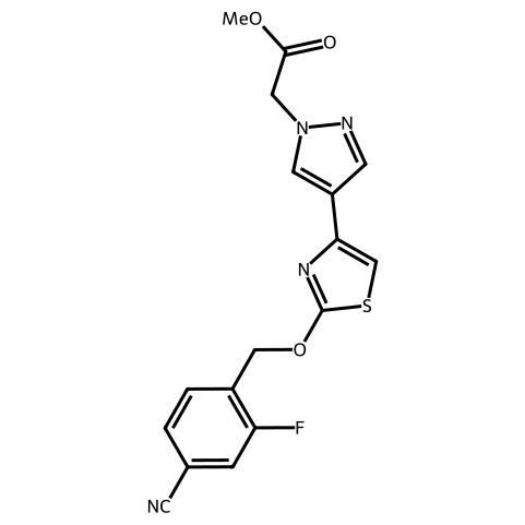 COC(=O)Cn1cc(-c2csc(OCc3ccc(C#N)cc3F)n2)cn1